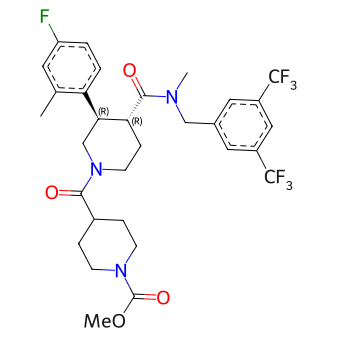 COC(=O)N1CCC(C(=O)N2CC[C@@H](C(=O)N(C)Cc3cc(C(F)(F)F)cc(C(F)(F)F)c3)[C@H](c3ccc(F)cc3C)C2)CC1